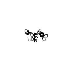 O=C(O)c1sc(-n2cnc3cc(Cl)c(Cl)cc32)cc1OCc1ccoc1